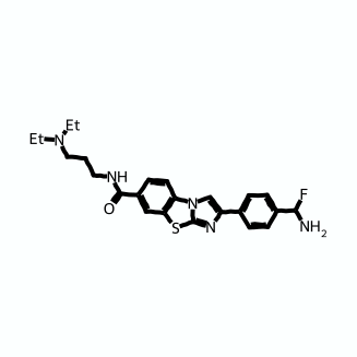 CCN(CC)CCCNC(=O)c1ccc2c(c1)sc1nc(-c3ccc(C(N)F)cc3)cn12